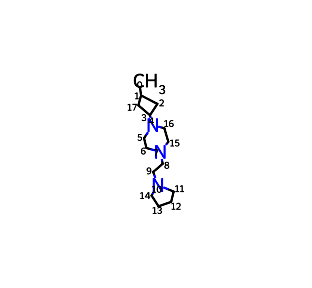 CC1CC(N2CCN(CCN3CCCC3)CC2)C1